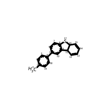 Cc1ccc(-c2ccc3c(c2)C2C=CC=CC2S3)cc1